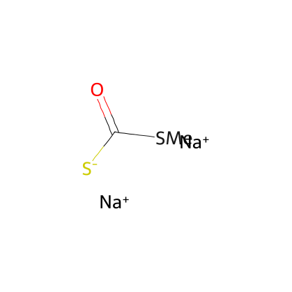 C[SH-]C(=O)[S-].[Na+].[Na+]